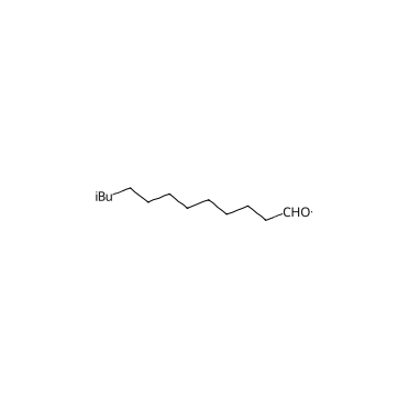 CCC(C)CCCCCCCC[C]=O